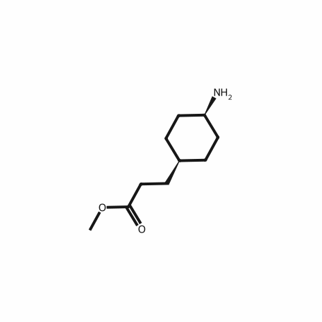 COC(=O)CC[C@H]1CC[C@@H](N)CC1